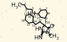 CCCCN[C@H]1CCC[C@@H](C[C@@]2(CCC3CCCCC3)NC(=N)N(C)C2=O)C1